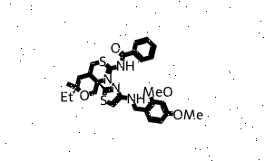 CC[C@]1(C)CC2CSC(NC(=O)c3ccccc3)=N[C@]2(c2nc(NCc3ccc(OC)cc3OC)cs2)CO1